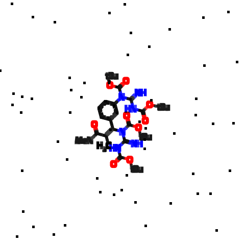 CNC(=O)C(C)=C(c1cccc(N(C(=N)NC(=O)OC(C)(C)C)C(=O)OC(C)(C)C)c1)N(C(=N)NC(=O)OC(C)(C)C)C(=O)OC(C)(C)C